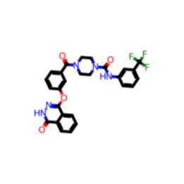 O=C(Nc1cccc(C(F)(F)F)c1)N1CCN(C(=O)c2cccc(Oc3n[nH]c(=O)c4ccccc34)c2)CC1